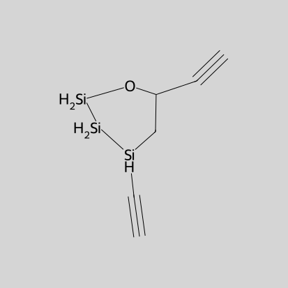 C#CC1C[SiH](C#C)[SiH2][SiH2]O1